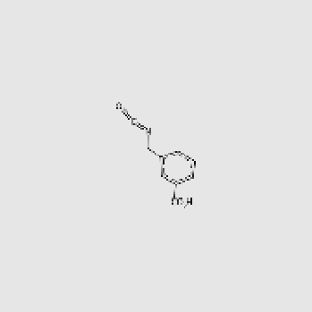 O=C=NCc1cccc(C(=O)O)c1